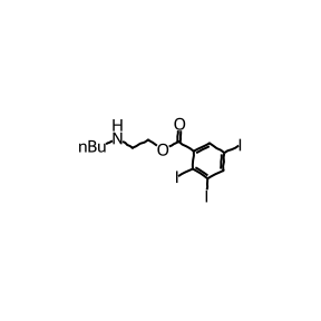 CCCCNCCOC(=O)c1cc(I)cc(I)c1I